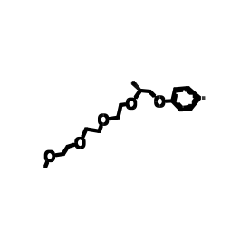 COCCOCCOCCO[C@@H](C)COc1cc[c]cc1